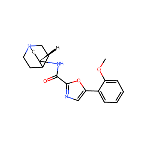 COc1ccccc1-c1cnc(C(=O)N[C@H]2CN3CCC2CC3)o1